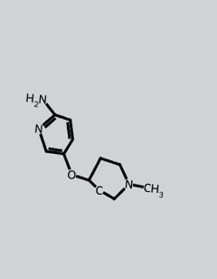 CN1CCC(Oc2ccc(N)nc2)CC1